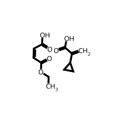 C=C(C(=O)O)C1CC1.CCOC(=O)/C=C\C(=O)O